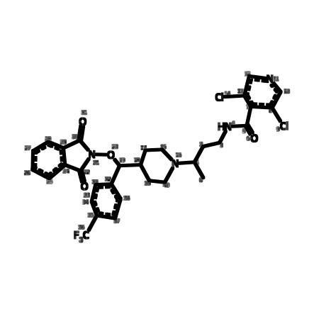 CC(CCNC(=O)c1c(Cl)cncc1Cl)N1CCC(C(ON2C(=O)c3ccccc3C2=O)c2ccc(C(F)(F)F)cc2)CC1